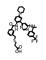 CC(Nc1cc(-c2cc(N3CCCCC3)ccc2NC(=O)c2cccc(CSCCC(=O)O)c2)ncn1)c1cccc(C(F)(F)F)c1